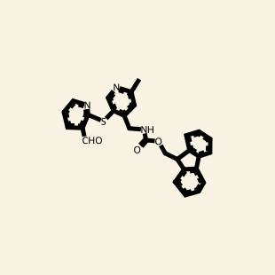 Cc1cc(CNC(=O)OCC2c3ccccc3-c3ccccc32)c(Sc2ncccc2C=O)cn1